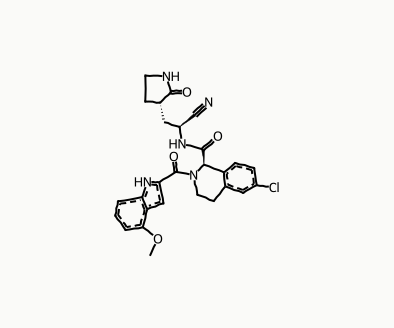 COc1cccc2[nH]c(C(=O)N3CCc4cc(Cl)ccc4[C@@H]3C(=O)N[C@H](C#N)C[C@@H]3CCNC3=O)cc12